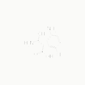 C/C(N)=C/C(=O)O.Nc1ccc(Cl)cc1